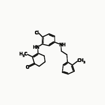 CC1=C(Nc2cc(NCCc3ccccc3C)ccc2Cl)CCCC1=O